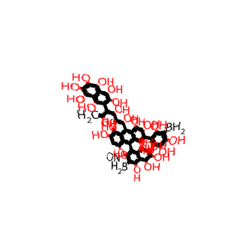 Bc1c(O)c(O)c(O)c(-c2c(O)c(O)c3c(/C(O)=C(O)/C(O)=C(\C(=C)O)c4c(O)c(O)c5c(O)c(O)c(O)c(O)c5c4O)c4c(O)c(O)cc(ON=O)c4c(-c4c(O)c(B)c(O)c5c(O)c(O)c(O)c(O)c45)c3c2O)c1O